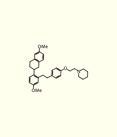 COc1ccc2c(c1)CCC(c1ccc(OC)cc1CCc1ccc(OCCN3CCCCC3)cc1)C2